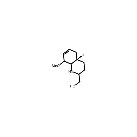 COC1C=CC[C@@H]2CCC(CO)NC12